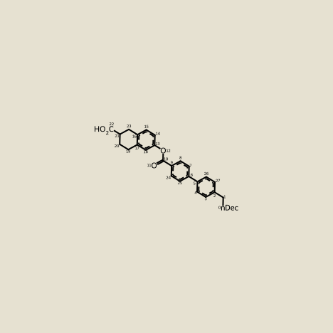 CCCCCCCCCCCc1ccc(-c2ccc(C(=O)Oc3ccc4c(c3)CCC(C(=O)O)C4)cc2)cc1